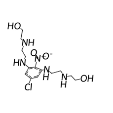 O=[N+]([O-])c1c(NCCNCCO)cc(Cl)cc1NCCNCCO